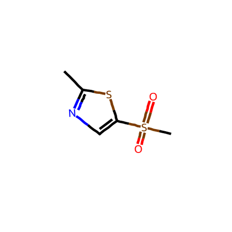 Cc1ncc(S(C)(=O)=O)s1